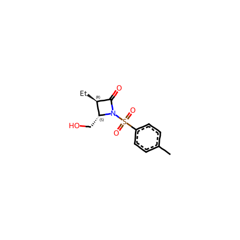 CC[C@H]1C(=O)N(S(=O)(=O)c2ccc(C)cc2)[C@@H]1CO